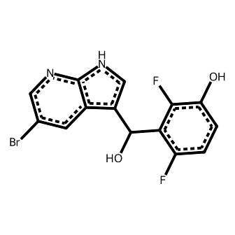 Oc1ccc(F)c(C(O)c2c[nH]c3ncc(Br)cc23)c1F